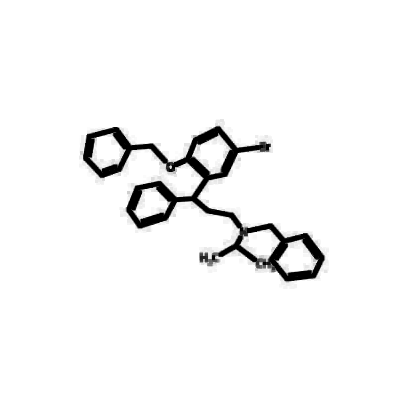 CC(C)N(CCC(c1ccccc1)c1cc(Br)ccc1OCc1ccccc1)Cc1ccccc1